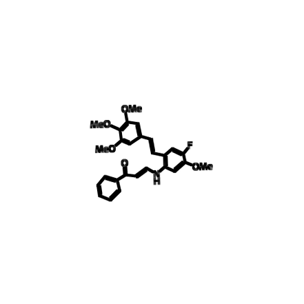 COc1cc(NC=CC(=O)c2ccccc2)c(C=Cc2cc(OC)c(OC)c(OC)c2)cc1F